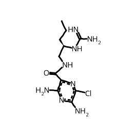 CCC[C@H](CNC(=O)c1nc(Cl)c(N)nc1N)NC(=N)N